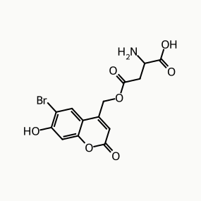 NC(CC(=O)OCc1cc(=O)oc2cc(O)c(Br)cc12)C(=O)O